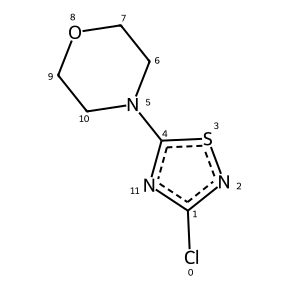 Clc1nsc(N2CCOCC2)n1